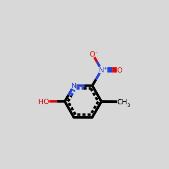 Cc1ccc(O)nc1[N+](=O)[O-]